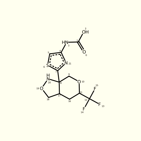 O=C(O)Nc1csc(C23COC(C(F)(F)F)CC2CON3)n1